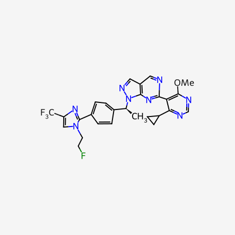 COc1ncnc(C2CC2)c1-c1ncc2cnn([C@@H](C)c3ccc(-c4nc(C(F)(F)F)cn4CCF)cc3)c2n1